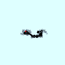 C[C@@H]1C[C@@H](O)CN1C(=O)[C@@H](NC(=O)CCCCCC(=O)N1CCN(c2ccc(Nc3ncc4cc(C(=O)N(C)C)n(C5CCCC5)c4n3)nc2)CC1)C(C)(C)C